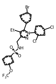 CCc1c(CNS(=O)(=O)c2cccc(OC(F)(F)F)c2)nn(-c2ccc(Cl)cc2Cl)c1-c1ccc(Br)cc1